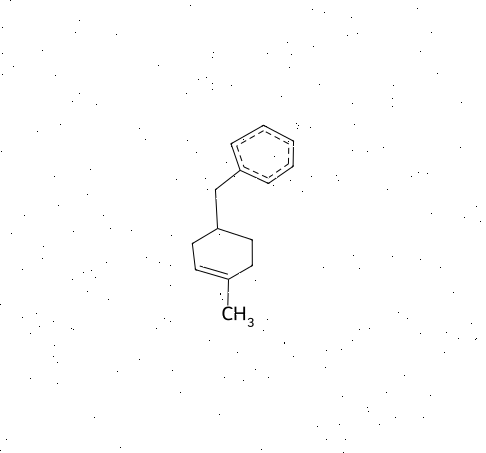 CC1=CCC(Cc2ccccc2)CC1